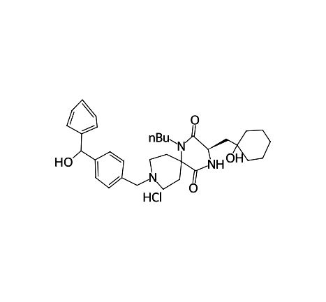 CCCCN1C(=O)[C@@H](CC2(O)CCCCC2)NC(=O)C12CCN(Cc1ccc(C(O)c3ccccc3)cc1)CC2.Cl